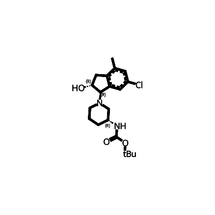 Cc1cc(Cl)cc2c1C[C@@H](O)[C@@H]2N1CCC[C@@H](NC(=O)OC(C)(C)C)C1